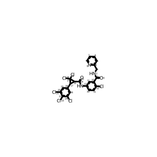 O=C(NCc1ccccn1)c1cc(NC(=O)C2C(c3cc(Cl)c(Cl)c(Cl)c3)C2(Cl)Cl)ccc1Cl